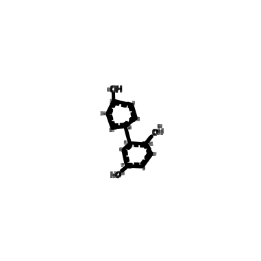 Oc1ccc(-c2cc(O)ccc2O)cc1